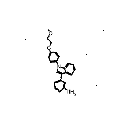 COCCOc1ccc(-n2cc(-c3cccc(N)c3)c3ccccc32)cc1